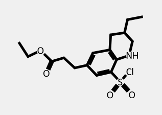 CCOC(=O)CCc1cc2c(c(S(=O)(=O)Cl)c1)NCC(CC)C2